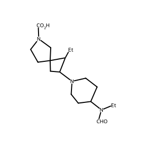 CCC1C(N2CCC(N(C=O)CC)CC2)CC12CCN(C(=O)O)C2